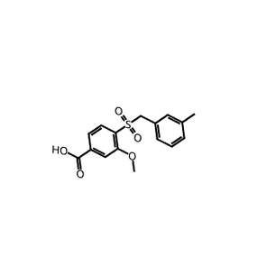 COc1cc(C(=O)O)ccc1S(=O)(=O)Cc1cccc(C)c1